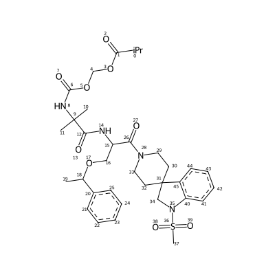 CC(C)C(=O)OCOC(=O)NC(C)(C)C(=O)NC(COC(C)c1ccccc1)C(=O)N1CCC2(CC1)CN(S(C)(=O)=O)c1ccccc12